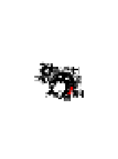 C=C1CO[C@@H]2[C@@H](C)/C(=N/O)[C@H](C)C[C@@](C)(OC1)[C@H](O[C@@H]1O[C@H](C)C[C@H](N(C)C)[C@H]1OC)[C@@H](C)[C@H](O)[C@@H](C)C(=O)O[C@H](CC)[C@@]2(C)O